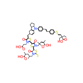 CCC(C=CSc1ccc(C=Cc2ccc(N3C4=C(CC(/C=c5\s/c(=c6/s/c(=C7/SC(=S)N(CC(C)CC(C)C(=O)O)C7=O)n(CC(C)(C)C=C(C)C(=O)O)c6=O)n(CCC(=O)O)c5=O)C=C4)C4CCCC43)cc2)cc1)(CC)C(=O)O